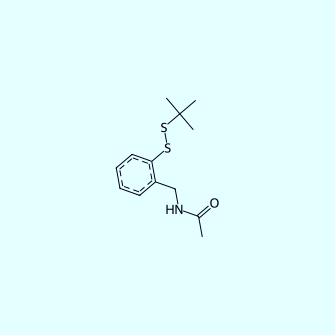 CC(=O)NCc1ccccc1SSC(C)(C)C